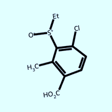 CC[S+]([O-])c1c(Cl)ccc(C(=O)O)c1C